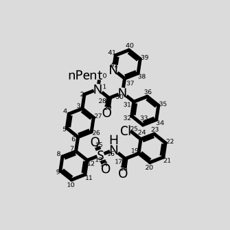 CCCCCN(Cc1ccc(-c2ccccc2S(=O)(=O)NC(=O)c2ccccc2Cl)cc1)C(=O)N(c1ccccc1)c1ccccn1